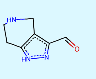 O=Cc1n[nH]c2c1CNCC2